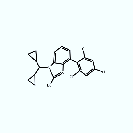 CCc1nc2c(-c3c(Cl)cc(Cl)cc3Cl)cccc2n1C(C1CC1)C1CC1